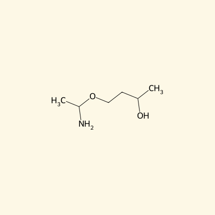 CC(O)CCOC(C)N